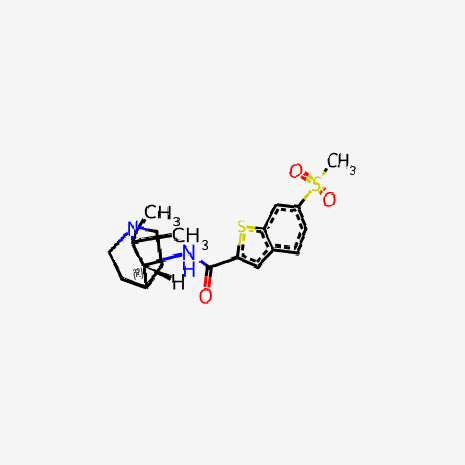 CC1(C)[C@H](NC(=O)c2cc3ccc(S(C)(=O)=O)cc3s2)C2CCN1CC2